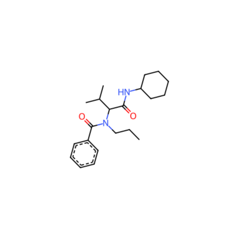 CCCN(C(=O)c1ccccc1)C(C(=O)NC1CCCCC1)C(C)C